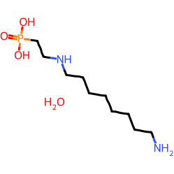 NCCCCCCCCNCCP(=O)(O)O.O